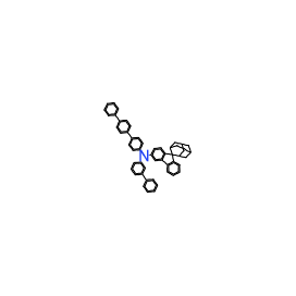 c1ccc(-c2ccc(-c3ccc(N(c4cccc(-c5ccccc5)c4)c4ccc5c(c4)-c4ccccc4C54C5CC6CC(C5)CC4C6)cc3)cc2)cc1